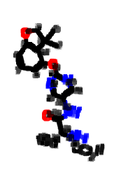 CC1(C)COc2cccc(Oc3ncc(NC(=O)[C@H](NC(=O)O)C(C)(C)C)cn3)c21